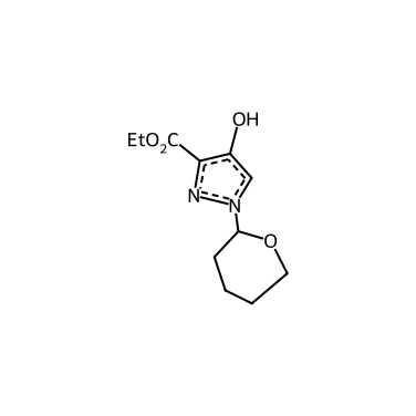 CCOC(=O)c1nn(C2CCCCO2)cc1O